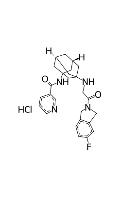 Cl.O=C(NC12C[C@@H]3C[C@@H](CC(NCC(=O)N4Cc5ccc(F)cc5C4)(C3)C1)C2)c1cccnc1